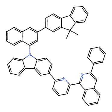 CC1(C)c2ccccc2-c2ccc(-c3cc(-n4c5ccccc5c5cc(-c6cccc(-c7nc(-c8ccccc8)cc8ccccc78)n6)ccc54)c4ccccc4c3)cc21